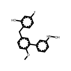 COc1ccc(Cc2ccc(F)cc2O)cc1-c1cccc(NO)c1